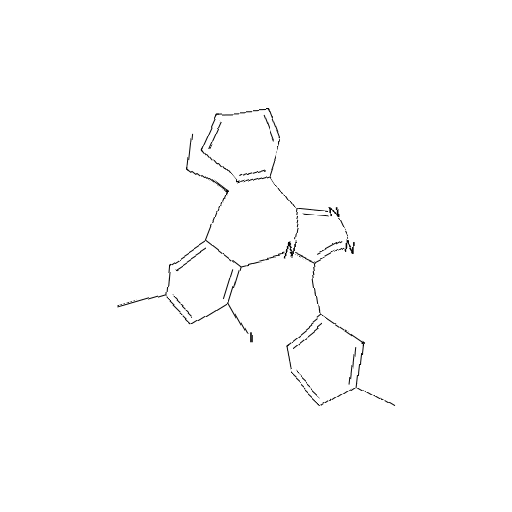 CCCc1cc(C)cc(I)c1-n1c(-c2ccccc2)nnc1-c1cccc(C)c1